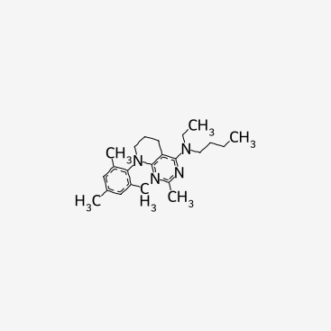 CCCCN(CC)c1nc(C)nc2c1CCCN2c1c(C)cc(C)cc1C